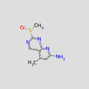 Cc1cc(N)nc2nc([S+](C)[O-])ncc12